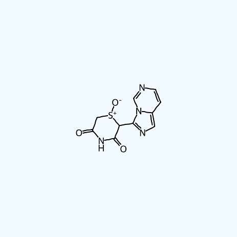 O=C1C[S+]([O-])C(c2ncc3ccncn23)C(=O)N1